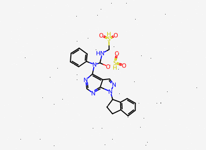 O=[SH](=O)CNC(O[SH](=O)=O)N(c1ccccc1)c1ncnc2c1cnn2C1CCc2[c]cccc21